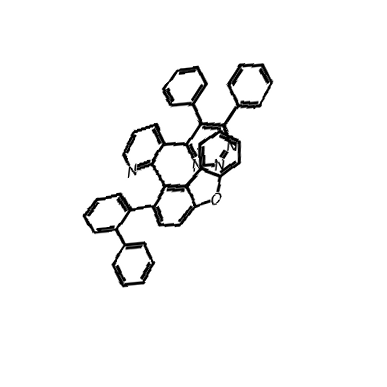 c1ccc(-c2ccccc2-c2ccc3oc4ccccc4c3c2-c2ncccc2-c2nnnc(-c3ccccc3)c2-c2ccccc2)cc1